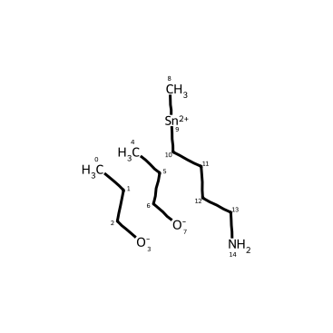 CCC[O-].CCC[O-].[CH3][Sn+2][CH2]CCCN